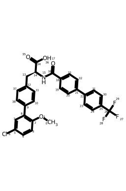 COc1ccc(Cl)cc1-c1ccc(C[C@H](NC(=O)c2ccc(-c3ccc(C(F)(F)F)cc3)cc2)C(=O)O)cc1